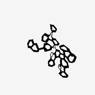 c1ccc(-n2c3ccccc3c3c(N(c4ccc(-c5ccc6ccccc6c5)cc4)c4cc5c(c6c4oc4ccccc46)-c4c(ccc6c4oc4ccccc46)C54c5ccccc5-c5ccccc54)cccc32)cc1